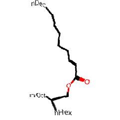 CCCCCCCCCCCCCCCC=CC(=O)OCC(CCCCCC)CCCCCCCC